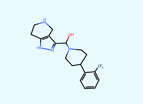 OC(c1n[nH]c2c1CNCC2)N1CCC(c2ccccc2C(F)(F)F)CC1